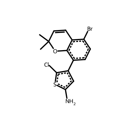 CC1(C)C=Cc2c(Br)ccc(-c3cc(N)sc3Cl)c2O1